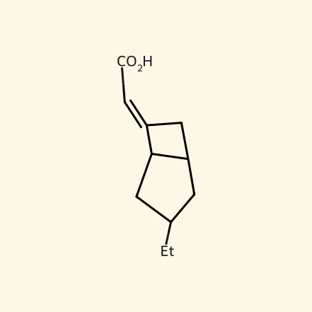 CCC1CC2CC(=CC(=O)O)C2C1